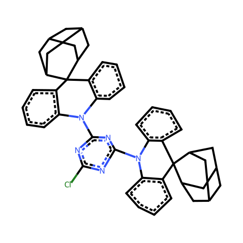 Clc1nc(N2c3ccccc3C3(c4ccccc42)C2CC4CC(C2)CC3C4)nc(N2c3ccccc3C3(c4ccccc42)C2CC4CC(C2)CC3C4)n1